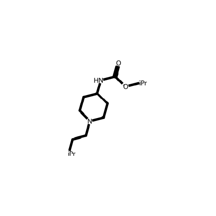 CC(C)CCN1CCC(NC(=O)OC(C)C)CC1